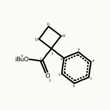 CC(C)COC(=O)C1(c2ccccc2)CCC1